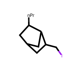 CCCC1CC2CC(CI)C1C2